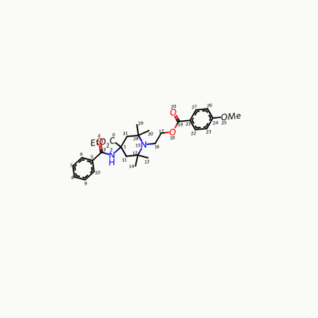 CCOC(=O)C1(NC(=O)c2ccccc2)CC(C)(C)N(CCOC(=O)c2ccc(OC)cc2)C(C)(C)C1